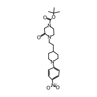 CC(C)(C)OC(=O)N1CCN(CCC2CCN(c3ccc([N+](=O)[O-])cc3)CC2)C(=O)C1